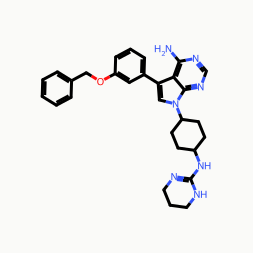 Nc1ncnc2c1c(-c1cccc(OCc3ccccc3)c1)cn2C1CCC(NC2=NCCCN2)CC1